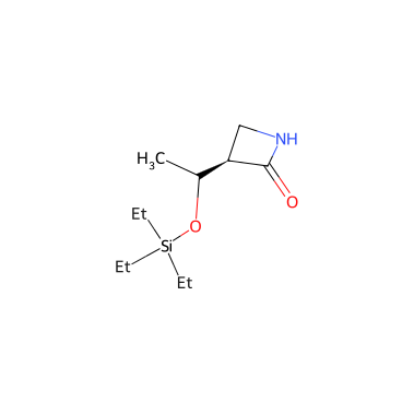 CC[Si](CC)(CC)OC(C)[C@H]1CNC1=O